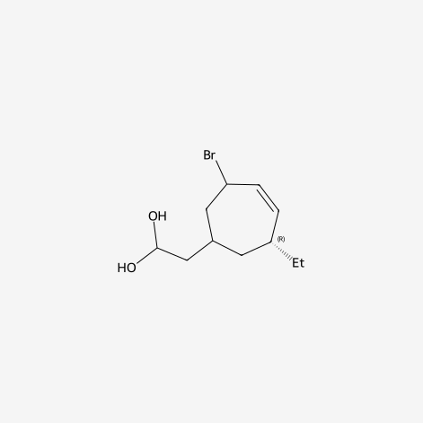 CC[C@H]1C=CC(Br)CC(CC(O)O)C1